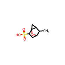 CC1C2CC(S(=O)(=O)O)C3(CC13)O2